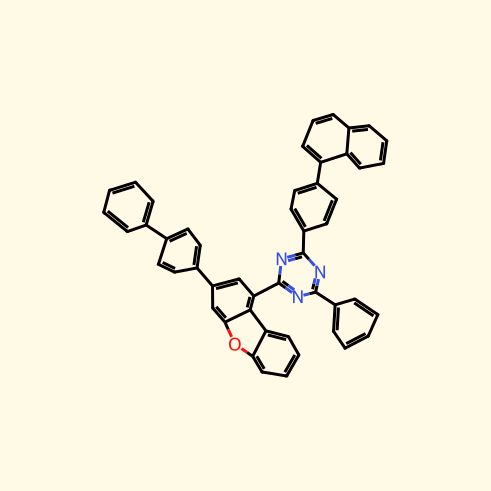 c1ccc(-c2ccc(-c3cc(-c4nc(-c5ccccc5)nc(-c5ccc(-c6cccc7ccccc67)cc5)n4)c4c(c3)oc3ccccc34)cc2)cc1